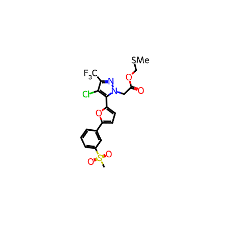 CSCOC(=O)Cn1nc(C(F)(F)F)c(Cl)c1-c1ccc(-c2cccc(S(C)(=O)=O)c2)o1